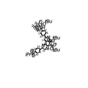 [2H]C([2H])([2H])N(C(=O)OC(C)(C)C)C([2H])([2H])c1ccc(-c2cc(-c3nc(-c4ccc(S(=O)(=O)C(C)C)cc4)cnc3N(C(=O)OC(C)(C)C)C(=O)OC(C)(C)C)on2)cc1